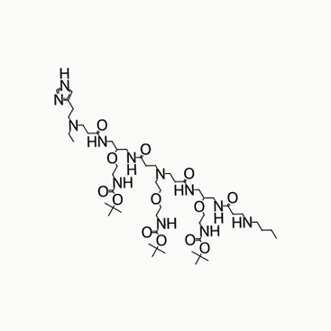 CCCCNCCC(=O)NCC(CNC(=O)CCN(CCOCCNC(=O)OC(C)(C)C)CCC(=O)NCC(CNC(=O)CCN(CC)CCc1c[nH]cn1)OCCNC(=O)OC(C)(C)C)OCCNC(=O)OC(C)(C)C